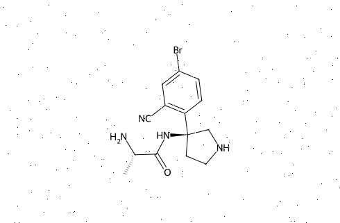 C[C@H](N)C(=O)N[C@]1(c2ccc(Br)cc2C#N)CCNC1